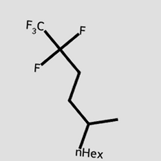 CCCCCCC(C)CCC(F)(F)C(F)(F)F